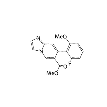 COC(=O)c1cn2ccnc2cc1-c1c(F)cccc1OC